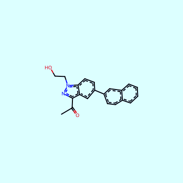 CC(=O)c1nn(CCO)c2ccc(-c3ccc4ccccc4c3)cc12